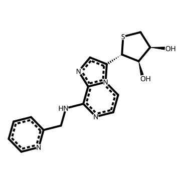 O[C@@H]1[C@H](O)CS[C@H]1c1cnc2c(NCc3ccccn3)nccn12